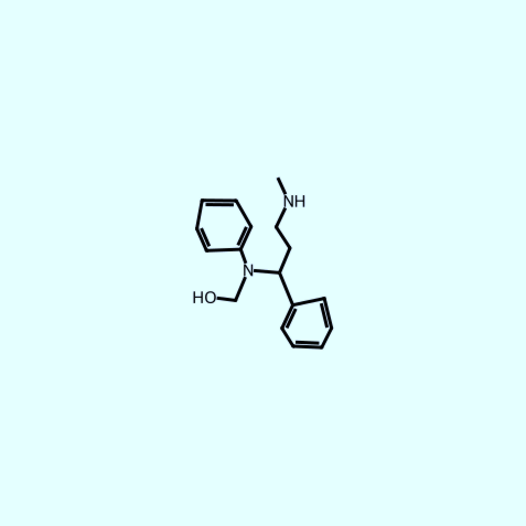 CNCCC(c1ccccc1)N(CO)c1ccccc1